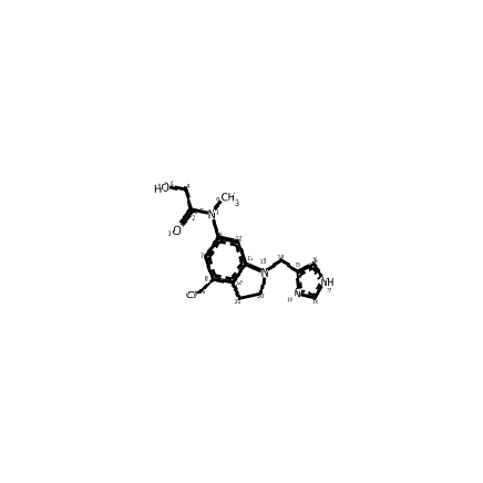 CN(C(=O)CO)c1cc(Cl)c2c(c1)N(Cc1c[nH]cn1)CC2